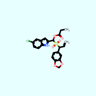 C=CC(c1ccc2c(c1)OCO2)S(=O)(=O)C(OC(=O)CC)c1cc2cc(Cl)ccc2[nH]1